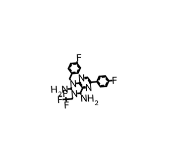 NC1c2nc(-c3ccc(F)cc3)cnc2N(Cc2ccc(F)cc2)C(N)N1CC(F)(F)F